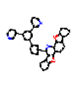 c1cncc(-c2cc(-c3cccnc3)cc(-c3cccc(-c4nc5c(ccc6c7ccccc7oc65)c5oc6ccccc6c45)c3)c2)c1